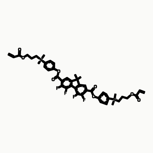 C=CC(=O)OCCC[Si](C)(C)c1ccc(OC(=O)c2cc3c(c(F)c2F)-c2c(cc(C(=O)Oc4ccc([Si](C)(C)CCCOC(=O)C=C)cc4)c(F)c2F)C3(C)C)cc1